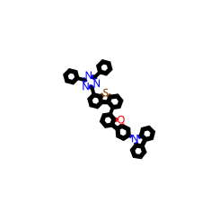 c1ccc(-c2nc(-c3ccccc3)nc(-c3cccc4c3sc3cccc(-c5cccc6c5oc5cc(-n7c8ccccc8c8ccccc87)ccc56)c34)n2)cc1